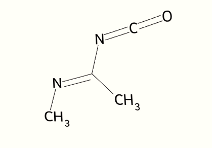 C/N=C(\C)N=C=O